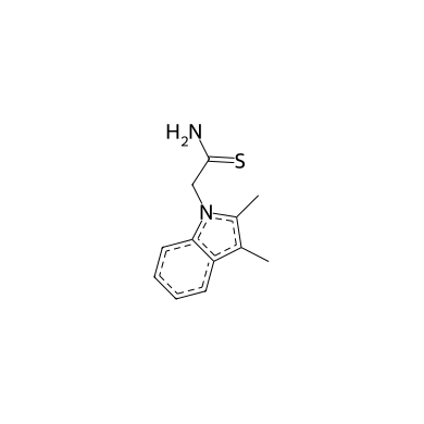 Cc1c(C)n(CC(N)=S)c2ccccc12